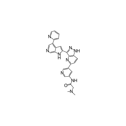 CN(C)CC(=O)Nc1cncc(-c2ccc3[nH]nc(-c4cc5c(-c6ccccn6)cncc5[nH]4)c3n2)c1